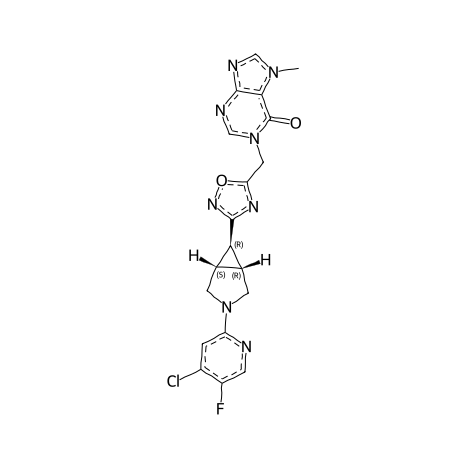 Cn1cnc2ncn(Cc3nc([C@H]4[C@@H]5CN(c6cc(Cl)c(F)cn6)C[C@@H]54)no3)c(=O)c21